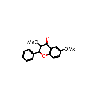 COc1ccc2c(c1)C(=O)C(OC)C(c1ccccc1)O2